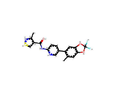 Cc1cc2c(cc1-c1ccc(NC(=O)c3csnc3C)nc1)OC(F)(F)O2